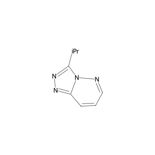 CC(C)c1nnc2cccnn12